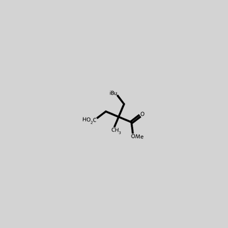 CCC(C)CC(C)(CC(=O)O)C(=O)OC